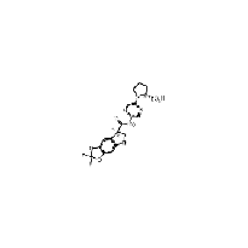 C[C@]1(C(=O)Nc2cnc(N3CCC[C@H]3C(=O)O)cn2)COc2cc3c(cc21)OC(F)(F)O3